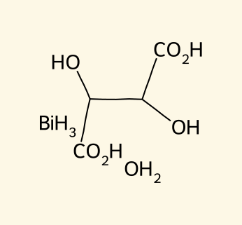 O.O=C(O)C(O)C(O)C(=O)O.[BiH3]